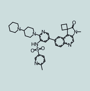 Cc1ccc(S(=O)(=O)Nc2cc(-c3ccc4ncc5c(c4c3)C3(CCC3)C(=O)N5C)cnc2N2CCC(N3CCCCC3)CC2)cn1